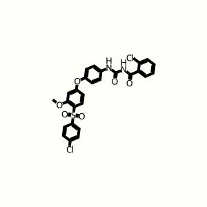 COc1cc(Oc2ccc(NC(=O)NC(=O)c3ccccc3Cl)cc2)ccc1S(=O)(=O)c1ccc(Cl)cc1